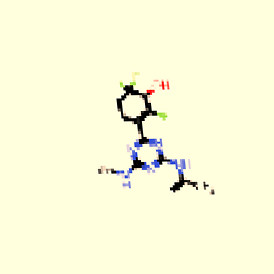 C=C(Nc1nc(NC(C)C)nc(C2=C(F)C(O)C(F)(F)CC2)n1)C(F)(F)F